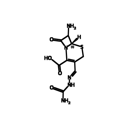 NC(=O)NN=CC1=C(C(=O)O)N2C(=O)C(N)[C@@H]2SC1